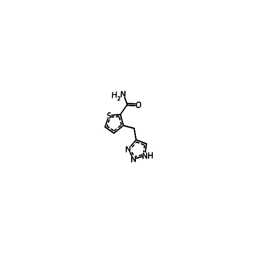 NC(=O)c1sccc1Cc1c[nH]nn1